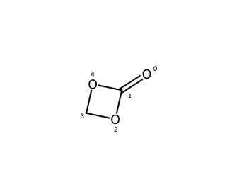 O=C1OCO1